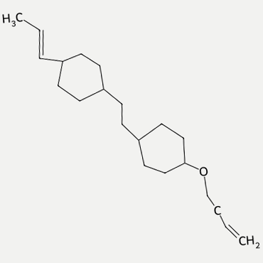 C=CCCOC1CCC(CCC2CCC(/C=C/C)CC2)CC1